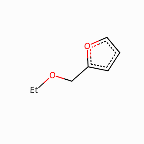 CCOCc1ccco1